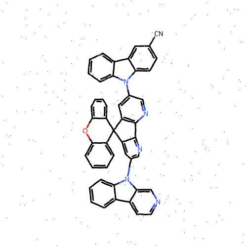 N#Cc1ccc2c(c1)c1ccccc1n2-c1cnc2c(c1)C1(c3ccccc3Oc3ccccc31)c1cc(-n3c4ccccc4c4ccncc43)cnc1-2